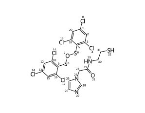 Clc1cc(Cl)c(SOSc2c(Cl)cc(Cl)cc2Cl)c(Cl)c1.O=C(Cn1ccnc1)NCCS